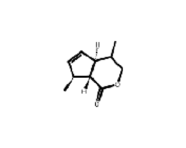 CC1COC(=O)[C@@H]2[C@@H](C)C=C[C@@H]12